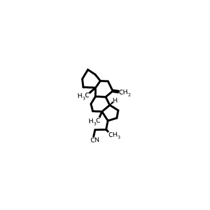 C=C1CC2CCCCC2(C)C2CCC3(C)C(C(C)CC#N)CC[C@H]3C12